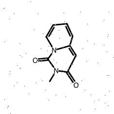 Cn1c(=O)cc2ccccn2c1=O